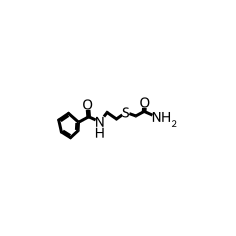 NC(=O)CSCCNC(=O)c1ccccc1